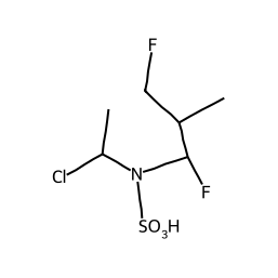 CC(CF)C(F)N(C(C)Cl)S(=O)(=O)O